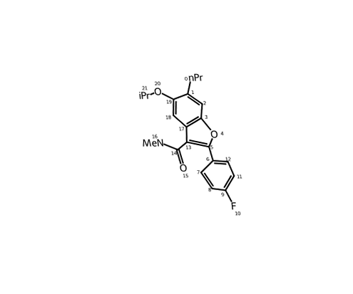 [CH2]CCc1cc2oc(-c3ccc(F)cc3)c(C(=O)NC)c2cc1OC(C)C